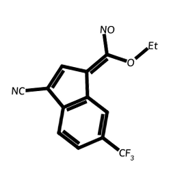 CCO/C(N=O)=C1/C=C(C#N)c2ccc(C(F)(F)F)cc21